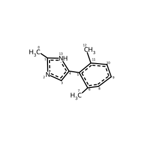 Cc1ncc(-c2c(C)cccc2C)[nH]1